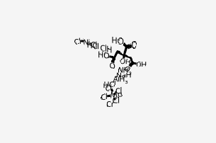 Cl.Cl.Cl.N.O=C(O)CC(O)(CC(=O)O)C(=O)O.[AlH3].[Cl][Mo]([Cl])([Cl])[Cl].[Cl][Ni][Cl].[Cr].[NaH]